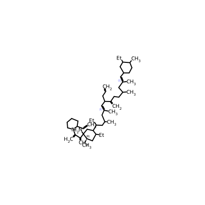 C=CCC(/C=C(\C)CC(C)CC(CC)C1CC(N)(C(=C)C(=C)N2CCCCC2C=C)[C@H](C)CC1CC)C(=C)CCC(C)C/C(C)=C/C1CCC(C)C(CC)C1